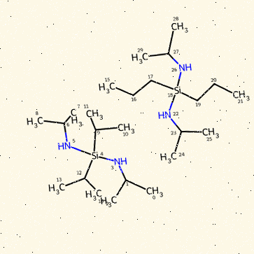 CC(C)N[Si](NC(C)C)(C(C)C)C(C)C.CCC[Si](CCC)(NC(C)C)NC(C)C